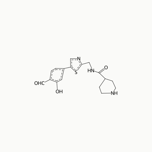 O=Cc1ccc(-c2cnc(CNC(=O)C3CCNCC3)s2)cc1O